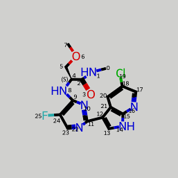 CNC(=O)[C@H](COC)Nc1nc(-c2c[nH]c3ncc(Cl)cc23)ncc1F